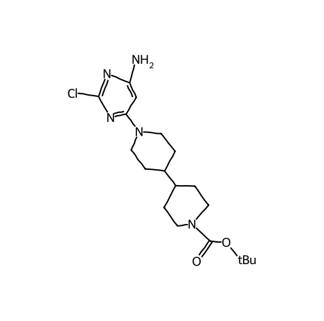 CC(C)(C)OC(=O)N1CCC(C2CCN(c3cc(N)nc(Cl)n3)CC2)CC1